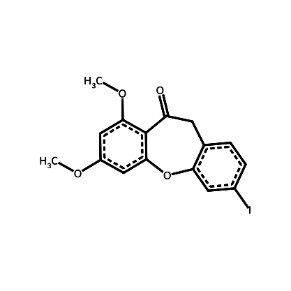 COc1cc(OC)c2c(c1)Oc1cc(I)ccc1CC2=O